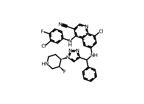 N#Cc1cnc2c(Cl)cc(NC(c3ccccc3)c3cn([C@@H]4CCNC[C@@H]4F)nn3)cc2c1Nc1ccc(F)c(Cl)c1